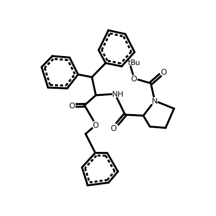 CC(C)(C)OC(=O)N1CCCC1C(=O)NC(C(=O)OCc1ccccc1)C(c1ccccc1)c1ccccc1